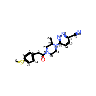 CSc1ccc(CC(=O)N2CCN(c3ccc(C#N)nn3)C(C)C2)cc1